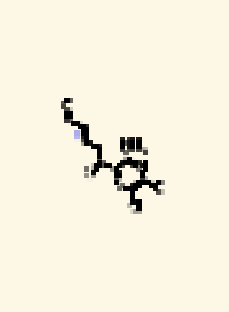 Nc1nc(Cl)c(Cl)nc1C(=O)C/C=C/C=O